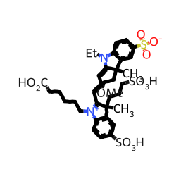 CCN1/C(=C/C=C/C2=[N+](CCCCCC(=O)O)c3ccc(S(=O)(=O)O)cc3C2(C)CCCS(=O)(=O)O)C(C)(CCOC)c2cc(S(=O)(=O)[O-])ccc21